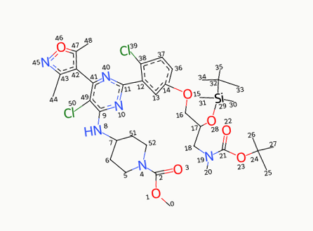 COC(=O)N1CCC(Nc2nc(-c3cc(OCC(CN(C)C(=O)OC(C)(C)C)O[Si](C)(C)C(C)(C)C)ccc3Cl)nc(-c3c(C)noc3C)c2Cl)CC1